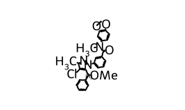 CO[C@H](c1ccccc1)c1c(Cl)c(C)nn1-c1cccc(C(=O)N(C)c2ccc3c(c2)OCO3)c1